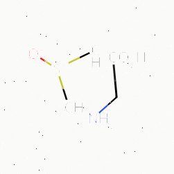 C[S+](C)[O-].NCC(=O)O